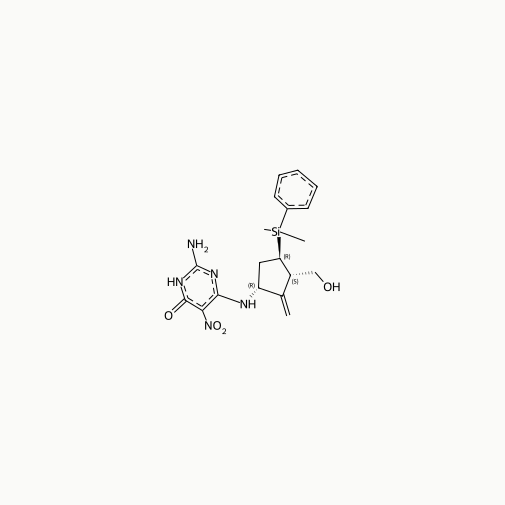 C=C1[C@@H](CO)[C@H]([Si](C)(C)c2ccccc2)C[C@H]1Nc1nc(N)[nH]c(=O)c1[N+](=O)[O-]